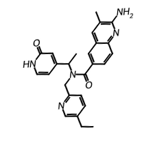 CCc1ccc(CN(C(=O)c2ccc3nc(N)c(C)cc3c2)C(C)c2cc[nH]c(=O)c2)nc1